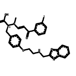 CN(C=CC(=O)c1cccc(I)c1)[C@@H](Cc1ccc(OCCNCc2nc3ccccc3o2)cc1)C(=O)O